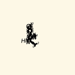 CC(C)C#Cc1n[nH]c2nc(N3CCC4(CC3)CO[C@@H](C)C4)n3ccnc3c12